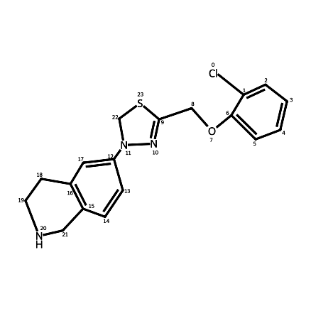 Clc1ccccc1OCC1=NN(c2ccc3c(c2)CCNC3)CS1